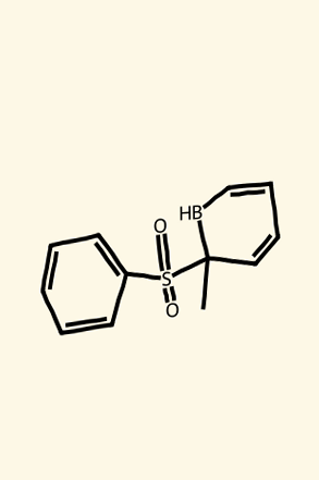 CC1(S(=O)(=O)c2ccccc2)BC=CC=C1